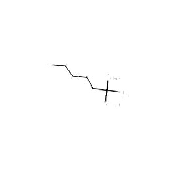 CCCCCCCC(C)(CCCCS)CCCCCC